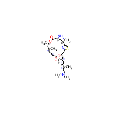 CC(/C=C/C(C)=C/[C@@H]1Cc2nc(cs2)[C@@H](C)C[C@@H](N)CC(=O)O[C@@H](C)C/C(C)=C/C=C/C(=O)O1)=C\CN(C)C